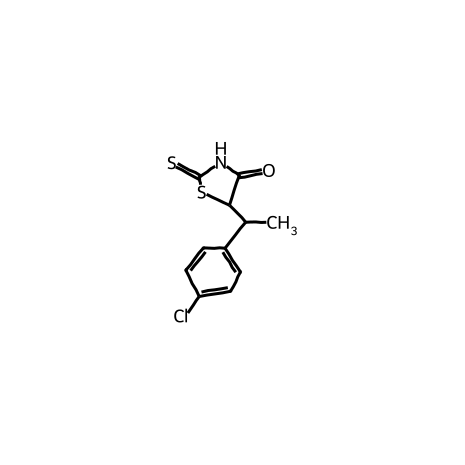 CC(c1ccc(Cl)cc1)C1SC(=S)NC1=O